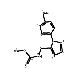 COc1ccc(-n2ncnc2CNC(=O)OC(C)(C)C)cn1